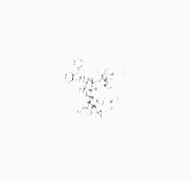 CC(=O)OC[C@@H]1O[C@@H](n2cnc3c(NCC(c4ccccc4)c4ccccc4)nc(CNS(=O)(=O)CC(C)C)nc32)[C@H](OC(C)=O)[C@@H]1OC(C)=O